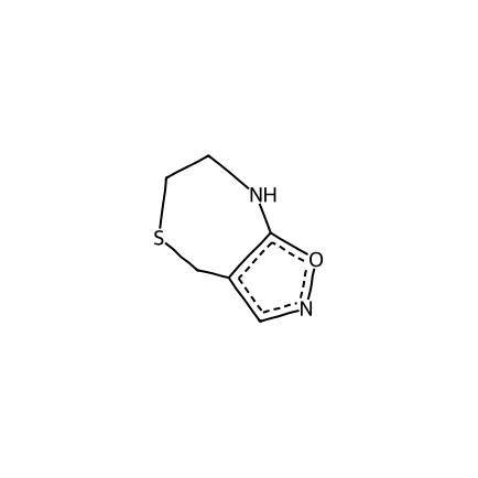 c1noc2c1CSCCN2